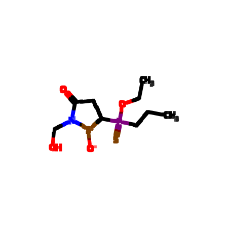 CCCP(=S)(OCC)C1CC(=O)N(CO)[S+]1[O-]